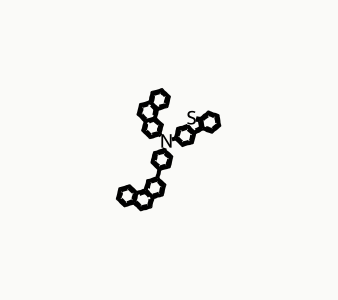 c1ccc2c(c1)ccc1ccc(-c3ccc(N(c4ccc5c(c4)sc4ccccc45)c4ccc5ccc6ccccc6c5c4)cc3)cc12